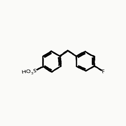 O=S(=O)(O)c1ccc(Cc2ccc(F)cc2)cc1